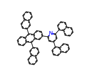 c1ccc2cc(-c3c4ccccc4c(-c4ccc5ccccc5c4)c4cc(-c5cc(-c6cccc7ccccc67)cc(-c6cccc7ccccc67)n5)ccc34)ccc2c1